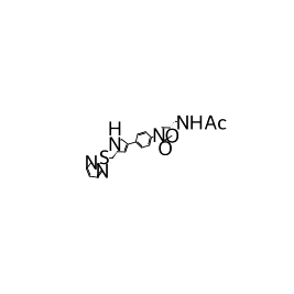 CC(=O)NC[C@H]1CN(c2ccc(C3=C[C@@H](CSc4ncccn4)NC3)cc2)C(=O)O1